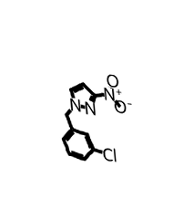 O=[N+]([O-])c1ccn(Cc2cccc(Cl)c2)n1